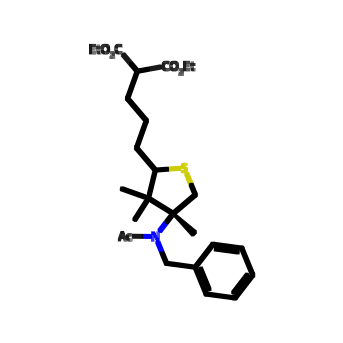 CCOC(=O)C(CCCC1SC[C@](C)(N(Cc2ccccc2)C(C)=O)C1(C)C)C(=O)OCC